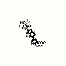 COc1ncc(-c2ccc3nc(NC(=O)C(C)(C)O)cn3n2)cc1C(=O)[O-].[Li+]